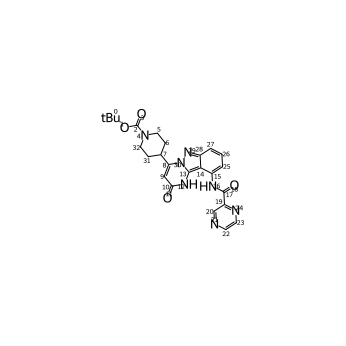 CC(C)(C)OC(=O)N1CCC(c2cc(=O)[nH]c3c4c(NC(=O)c5cnccn5)cccc4nn23)CC1